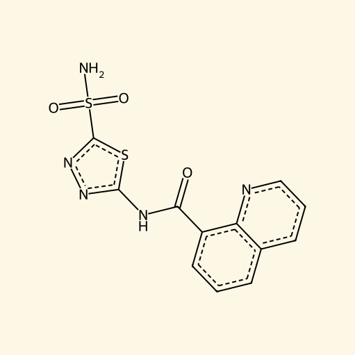 NS(=O)(=O)c1nnc(NC(=O)c2cccc3cccnc23)s1